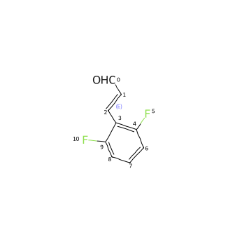 O=C/C=C/c1c(F)cccc1F